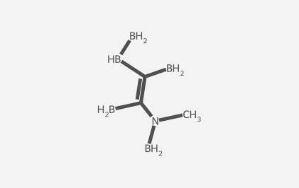 BB/C(B)=C(\B)N(B)C